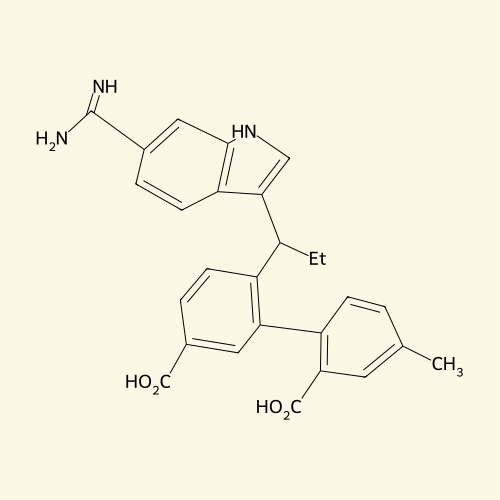 CCC(c1ccc(C(=O)O)cc1-c1ccc(C)cc1C(=O)O)c1c[nH]c2cc(C(=N)N)ccc12